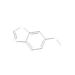 CSc1ccc2ncoc2c1